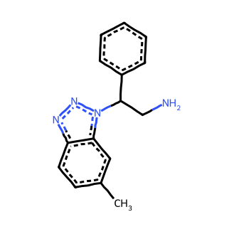 Cc1ccc2nnn(C(CN)c3ccccc3)c2c1